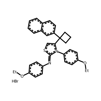 Br.CCOc1ccc(N=c2scc(C3(c4ccc5ccccc5c4)CCC3)n2-c2ccc(OCC)cc2)cc1